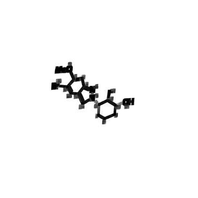 COc1cc2nn([C@H]3CCC[C@@H](O)[C@@H]3C)cc2cc1Br